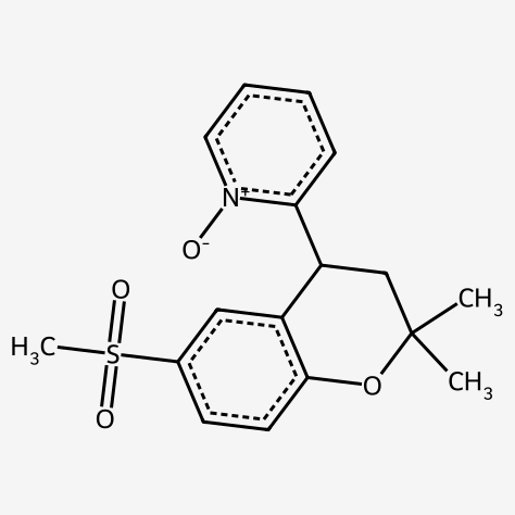 CC1(C)CC(c2cccc[n+]2[O-])c2cc(S(C)(=O)=O)ccc2O1